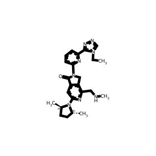 CCn1cnnc1-c1cccc(N2Cc3c(cc(N4[C@H](C)CC[C@H]4C)nc3CNC)C2=O)n1